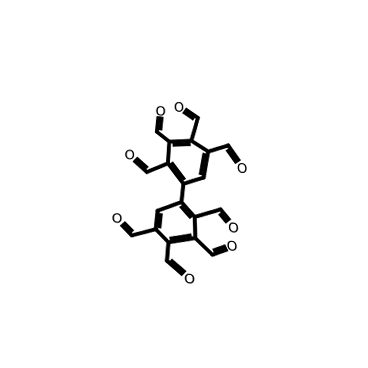 O=Cc1cc(-c2cc(C=O)c(C=O)c(C=O)c2C=O)c(C=O)c(C=O)c1C=O